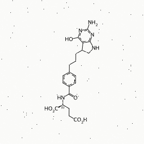 Nc1nc(O)c2c(n1)NCC2CCCc1ccc(C(=O)N[C@@H](CCC(=O)O)C(=O)O)cc1